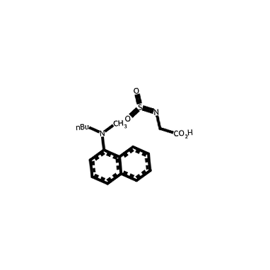 CCCCN(C)c1cccc2ccccc12.O=C(O)CN=S(=O)=O